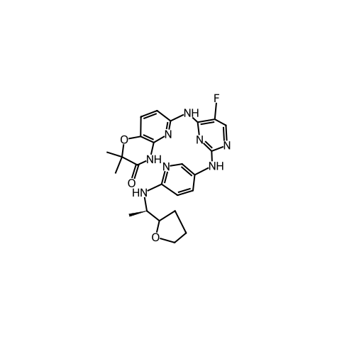 C[C@@H](Nc1ccc(Nc2ncc(F)c(Nc3ccc4c(n3)NC(=O)C(C)(C)O4)n2)cn1)C1CCCO1